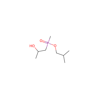 CC(C)COP(C)(=O)CC(C)O